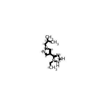 CCN1NNN=C1c1cnn(CC(C)C)c1